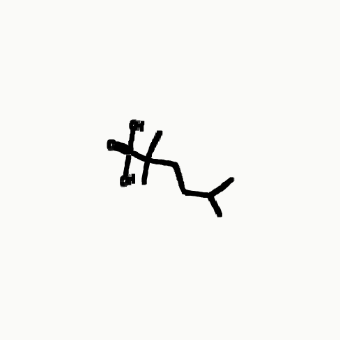 CC(C)CCC(C)(C)P(=O)(O)O